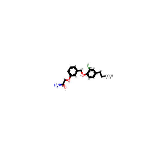 NC(=O)COc1cccc(COc2ccc(CCC(=O)O)cc2F)c1